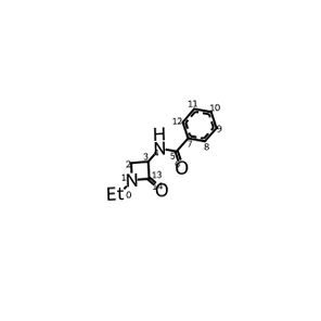 CCN1CC(NC(=O)c2ccccc2)C1=O